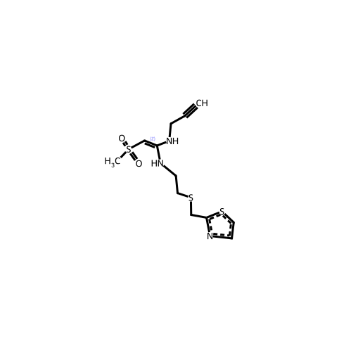 C#CCN/C(=C/S(C)(=O)=O)NCCSCc1nccs1